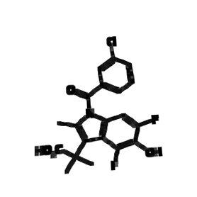 Cc1c(C(C)(C)C(=O)O)c2c(F)c(O)c(F)cc2n1C(=O)c1cccc(Cl)c1